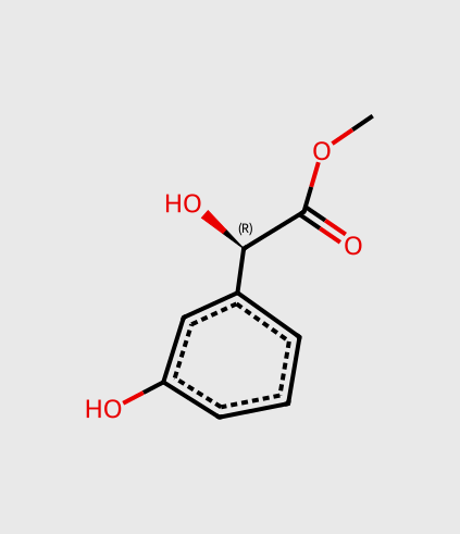 COC(=O)[C@H](O)c1cccc(O)c1